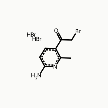 Br.Br.Cc1nc(N)ccc1C(=O)CBr